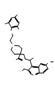 COc1ccc2ncc(CF)c(C(O)CCC3(C(=O)O)CCN(CCOc4c(F)cc(F)cc4F)CC3)c2c1